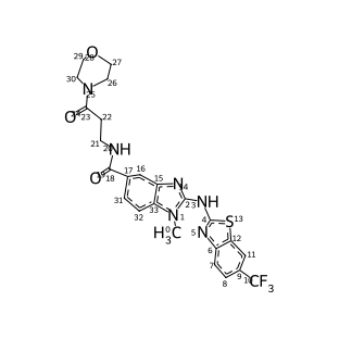 Cn1c(Nc2nc3ccc(C(F)(F)F)cc3s2)nc2cc(C(=O)NCCC(=O)N3CCOCC3)ccc21